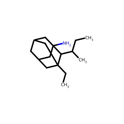 CCC(C)C1C2(N)CC3CC(C2)CC1(CC)C3